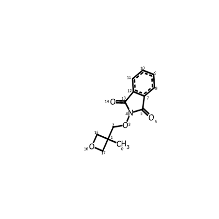 CC1(CON2C(=O)c3ccccc3C2=O)COC1